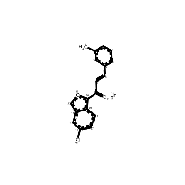 Cc1cccc(C=CC(=O)c2occ3cc(Cl)ccc23)c1.Cl